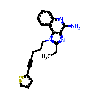 CCc1nc2c(N)nc3ccccc3c2n1CCCC#Cc1cccs1